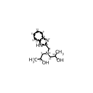 CC(O)CN(Cc1nc2ccccc2[nH]1)CC(C)O